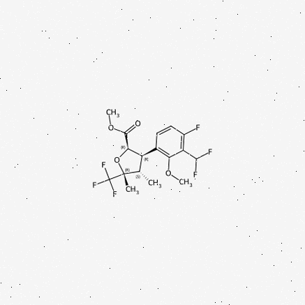 COC(=O)[C@@H]1O[C@@](C)(C(F)(F)F)[C@@H](C)[C@@H]1c1ccc(F)c(C(F)F)c1OC